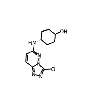 O[C@H]1CC[C@H](Nc2ccc3nnc(Cl)n3n2)CC1